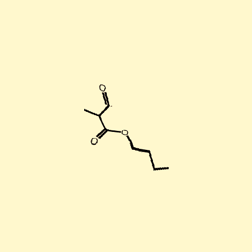 CCCCOC(=O)C(C)[C]=O